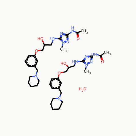 CC(=O)Nc1nc(NCC(O)COc2cccc(CN3CCCCC3)c2)n(C)n1.CC(=O)Nc1nc(NCC(O)COc2cccc(CN3CCCCC3)c2)n(C)n1.O